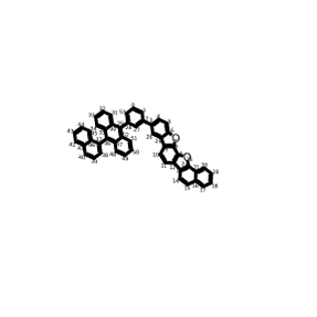 c1cc(-c2ccc3oc4c(ccc5c6ccc7ccccc7c6oc54)c3c2)cc(-c2c3ccccc3c(-c3cccc4ccccc34)c3ccccc23)c1